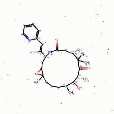 C[C@H]1CCCC2(C)OC2C[C@@H](C(F)=Cc2ccccn2)NC(=O)C[C@H](O)C(C)(C)C(=O)[C@H](C)[C@H]1O